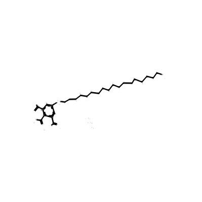 CCCCCCCCCCCCCCCCCCCNc1cc(C(=O)[O-])c(C(=O)[O-])c(C(=O)[O-])c1.[Na+].[Na+].[Na+]